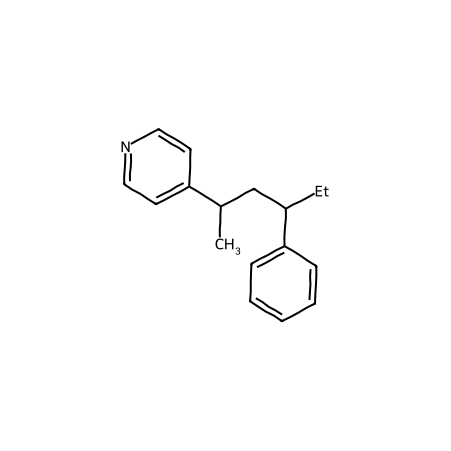 CCC(CC(C)c1ccncc1)c1ccccc1